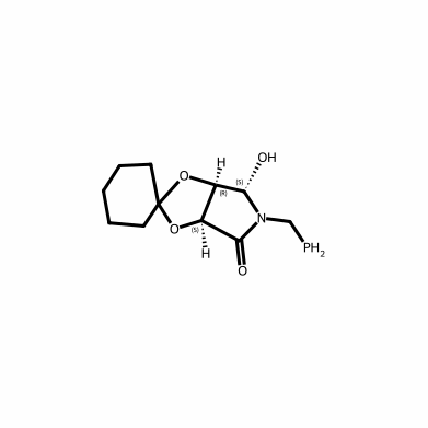 O=C1[C@H]2OC3(CCCCC3)O[C@H]2[C@H](O)N1CP